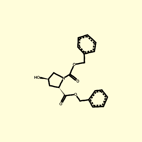 O=C(OCc1ccccc1)[C@@H]1C[C@@H](O)CN1C(=O)OCc1ccccc1